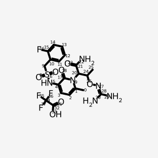 Cc1ccc(NS(=O)(=O)Cc2ccccc2F)c(=O)n1C(C(N)=O)C(C)ON=C(N)N.O=C(O)C(F)(F)F